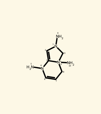 NN1C=C2N(N)C=CC[N+]2(N)C1